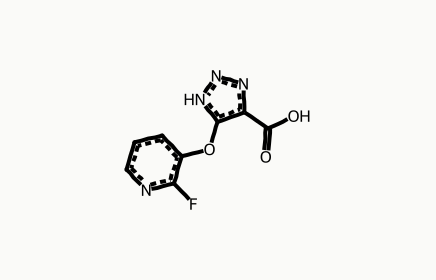 O=C(O)c1nn[nH]c1Oc1cccnc1F